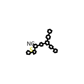 N#Cc1cc(-c2ccc(-c3cc(-c4ccc(-c5ccccc5)cc4)cc(-c4ccc(-c5ccccc5)cc4)c3)cc2)cc(-c2cccc3c2sc2ccccc23)c1